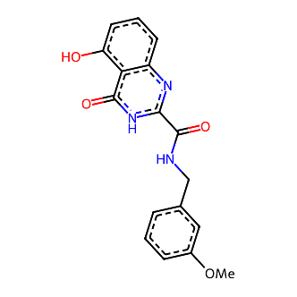 COc1cccc(CNC(=O)c2nc3cccc(O)c3c(=O)[nH]2)c1